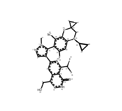 Cn1ncc(-c2cc3c(CO)n[nH]c(=O)c3c(C(F)F)n2)c1-c1c(F)cc2c(c1C#N)OC1(CC1)CN2C1CC1